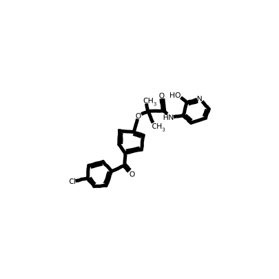 CC(C)(Oc1ccc(C(=O)c2ccc(Cl)cc2)cc1)C(=O)Nc1cccnc1O